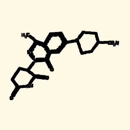 Cc1nn(C2CCC(=O)NC2=O)c(=O)c2cc(N3CCC(C(=O)O)CC3)ccc12